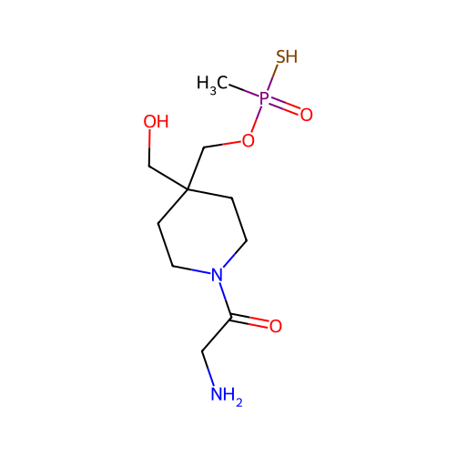 CP(=O)(S)OCC1(CO)CCN(C(=O)CN)CC1